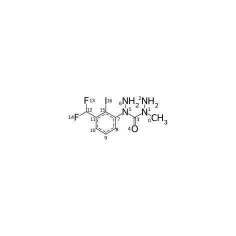 CN(N)C(=O)N(N)c1cccc(C(F)F)c1I